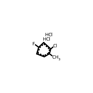 Cc1ccc(F)cc1Cl.Cl.Cl